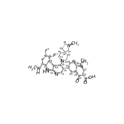 CNc1cc(F)c(F)c2c1[nH]c1ncc(-c3cnc4c(c3)c(=O)c(C(=O)O)cn4C)c(N3CCC4(CCN(C)C4)CC3)c12